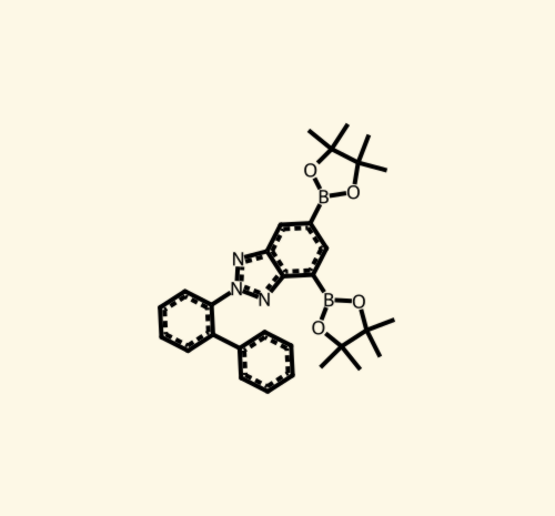 CC1(C)OB(c2cc(B3OC(C)(C)C(C)(C)O3)c3nn(-c4ccccc4-c4ccccc4)nc3c2)OC1(C)C